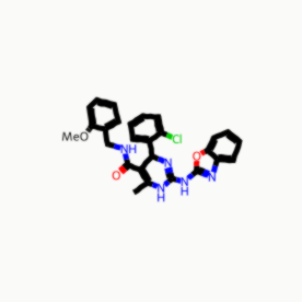 COc1ccccc1CNC(=O)C1=C(C)NC(Nc2nc3ccccc3o2)=NC1c1ccccc1Cl